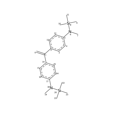 C=C(c1ccc(N(C)[Si](C)(C)C)cc1)c1ccc(N(C)[Si](C)(C)C)cc1